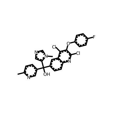 Cc1ccc(C(O)(c2ccc3nc(Cl)c(Oc4ccc(F)cc4)c(Cl)c3c2)c2cncn2C)cn1